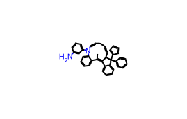 C/C1=C2/c3ccccc3C(C3=CC=CC3)(c3ccccc3)C2C=CCC=CN(c2cccc(N)c2)c2ccccc21